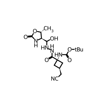 C[C@H]1OC(=O)N[C@@H]1C(O)NNC(=O)[C@]1(NC(=O)OC(C)(C)C)C[C@H](CC#N)C1